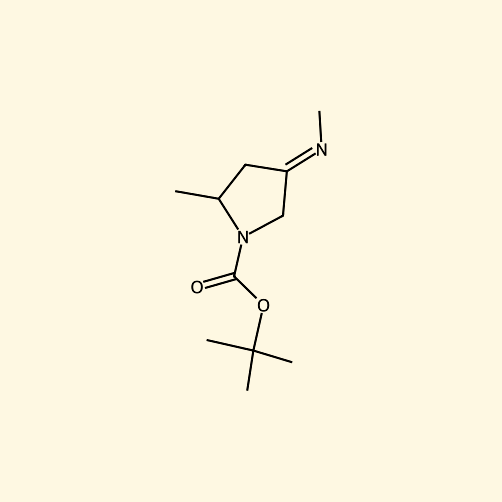 C/N=C1\CC(C)N(C(=O)OC(C)(C)C)C1